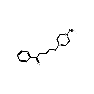 NN1CCN(CCCCC(=O)c2ccccc2)CC1